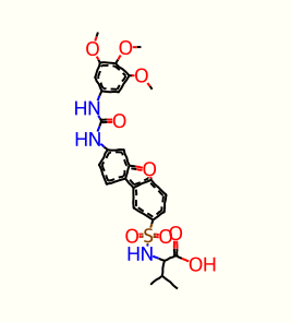 COc1cc(NC(=O)Nc2ccc3c(c2)oc2ccc(S(=O)(=O)NC(C(=O)O)C(C)C)cc23)cc(OC)c1OC